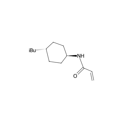 C=CC(=O)N[C@H]1CC[C@H](C(C)CC)CC1